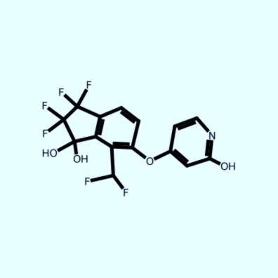 Oc1cc(Oc2ccc3c(c2C(F)F)C(O)(O)C(F)(F)C3(F)F)ccn1